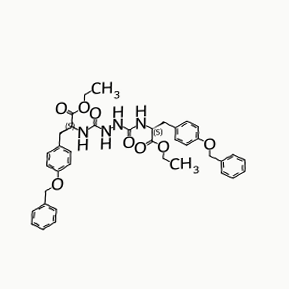 CCOC(=O)[C@H](Cc1ccc(OCc2ccccc2)cc1)NC(=O)NNC(=O)N[C@@H](Cc1ccc(OCc2ccccc2)cc1)C(=O)OCC